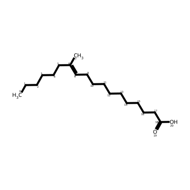 CCCCCCC(C)=CCCCCCCCCCC(=O)O